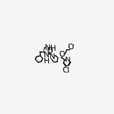 CNC[C@H](CC1CCCCC1)NC(=O)N1CCC[C@@H](C(OCCCOC)c2cc(Cl)ccn2)C1